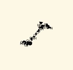 N#Cc1cnc2c(cnn2-c2cc(NC3CC3)c(C(=O)NCC(F)COCCOCCNC(=O)COc3cccc4c3C(=O)N(C3CCC(=O)NC3=O)C4=O)cn2)c1